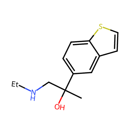 CCNCC(C)(O)c1ccc2sccc2c1